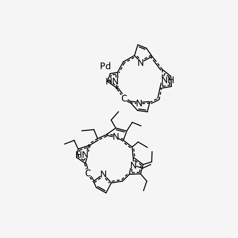 C1=Cc2cc3ccc(cc4nc(cc5ccc(cc1n2)[nH]5)C=C4)[nH]3.CCC1=C(CC)c2nc1c(CC)c1[nH]c(cc3nc(cc4c(CC)c(CC)c(c2CC)n4CC)C=C3)cc1CC.[Pd]